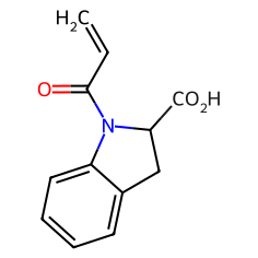 C=CC(=O)N1c2ccccc2CC1C(=O)O